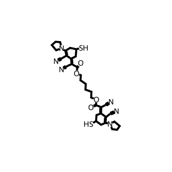 N#CC1=C(N2CCCC2)CC(S)C/C1=C(/C#N)C(=O)OCCCCCCOC(=O)/C(C#N)=C1\CC(S)CC(N2CCCC2)=C1C#N